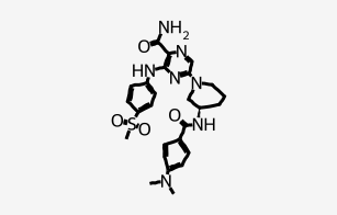 CN(C)c1ccc(C(=O)N[C@@H]2CCCN(c3cnc(C(N)=O)c(Nc4ccc(S(C)(=O)=O)cc4)n3)C2)cc1